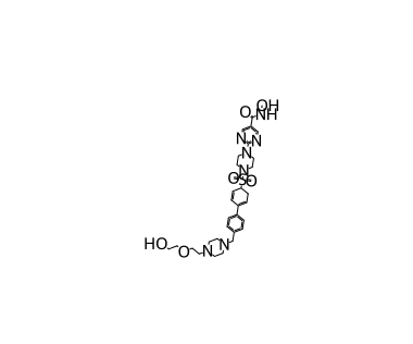 O=C(NO)c1cnc(N2CCN(S(=O)(=O)C3C=CC(c4ccc(CN5CCN(CCOCCO)CC5)cc4)=CC3)CC2)nc1